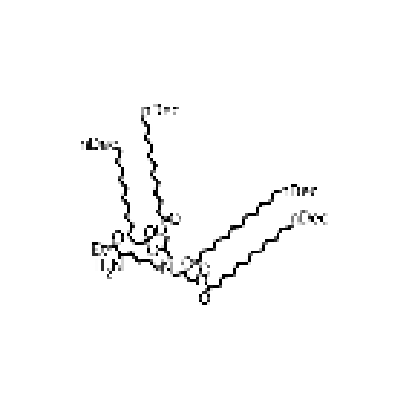 CCCCCCCCCCCCCCCCCCCCCC(=O)OCC(CN(CCCCC(N)C(=O)CC)CC(COC(=O)CCCCCCCCCCCCCCCCCCCCC)OC(=O)CCCCCCCCCCCCCCCCCCCCC)OC(=O)CCCCCCCCCCCCCCCCCCCCC